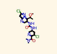 COC(C)c1c(NC(=O)Nc2cnc(C(=O)N(C)C)c(Cl)c2)cnc2cc(Cl)nn12